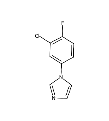 Fc1ccc(-n2ccnc2)cc1Cl